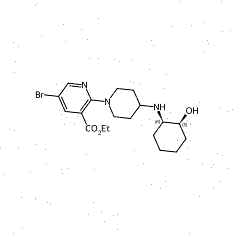 CCOC(=O)c1cc(Br)cnc1N1CCC(N[C@@H]2CCCC[C@@H]2O)CC1